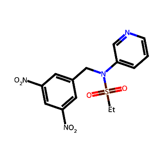 CCS(=O)(=O)N(Cc1cc([N+](=O)[O-])cc([N+](=O)[O-])c1)c1cccnc1